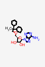 CC(COC[C@H]1O[C@@H](n2cnc3c(N)ncnc32)[C@H](O)[C@@H]1O)(c1ccccc1)c1ccccc1